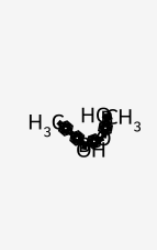 CB(O)c1ccc(Oc2ccc(B(O)c3ccc(-c4ccc(C)cc4)cc3)cc2)cc1